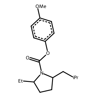 CCC1CCC(CC(C)C)N1C(=O)Oc1ccc(OC)cc1